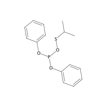 CC(C)SOP(Oc1ccccc1)Oc1ccccc1